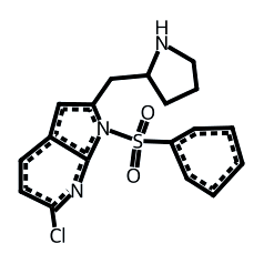 O=S(=O)(c1ccccc1)n1c(CC2CCCN2)cc2ccc(Cl)nc21